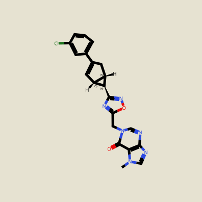 Cn1cnc2ncn(Cc3nc([C@H]4[C@@H]5C=C(c6cccc(Cl)c6)C[C@@H]54)no3)c(=O)c21